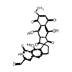 COC1=CC(=O)C2=C(O)C3C(=O)C4(CCc5cc6cc(C=O)[nH]c(=O)c6c(O)c54)C(=O)C3C(O)=C2C1=O